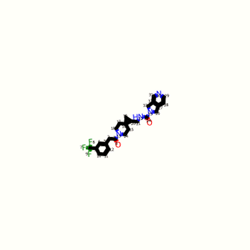 O=C(CC1=CC(C(F)(F)F)CC=C1)N1CCC2(CC1)CC2CNC(=O)N1Cc2ccncc2C1